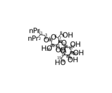 CCCC(CCC)CO[C@@H]1OC(CO)[C@@H](O[C@H]2OC(CO)[C@@H](O)[C@H](O)C2O)C(O)[C@@H]1O